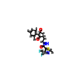 Cc1cc(C)c(C2C(=O)CC(CCNC(=O)c3sc(C)nc3C(F)F)C2=O)c(C)c1